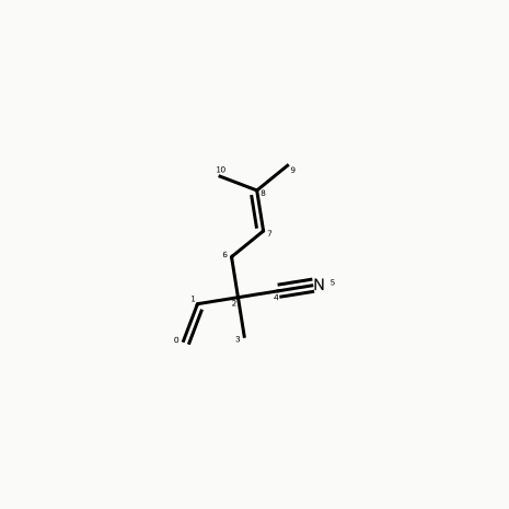 C=CC(C)(C#N)CC=C(C)C